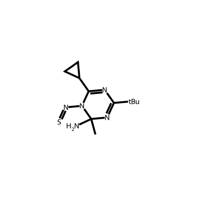 CC(C)(C)C1=NC(C)(N)N(N=S)C(C2CC2)=N1